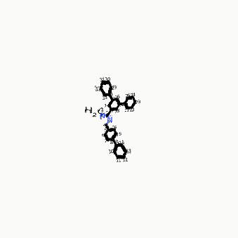 C=N/C(=N\Cc1ccc(-c2ccccc2)cc1)c1cc(-c2ccccc2)cc(-c2ccccc2)c1